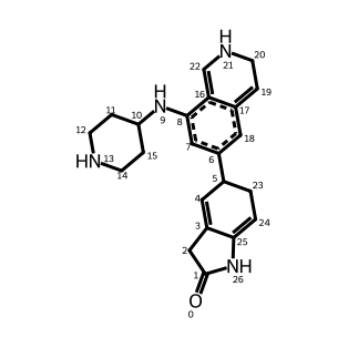 O=C1CC2=CC(c3cc(NC4CCNCC4)c4c(c3)=CCNC=4)CC=C2N1